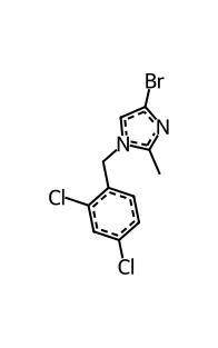 Cc1nc(Br)cn1Cc1ccc(Cl)cc1Cl